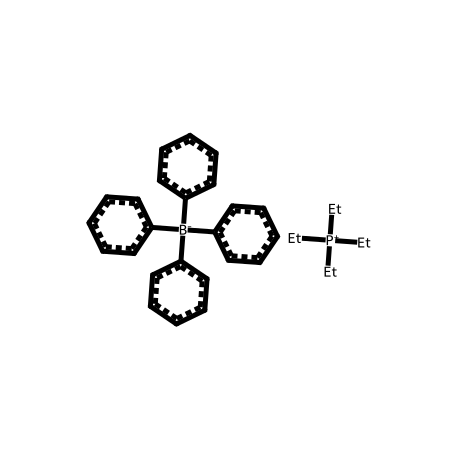 CC[P+](CC)(CC)CC.c1ccc([B-](c2ccccc2)(c2ccccc2)c2ccccc2)cc1